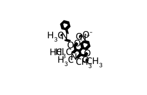 COC(=O)C1=C(C)N(C)C(C)=C(C(=O)OCCN(C)Cc2ccccc2)C1c1cccc([N+](=O)[O-])c1.Cl